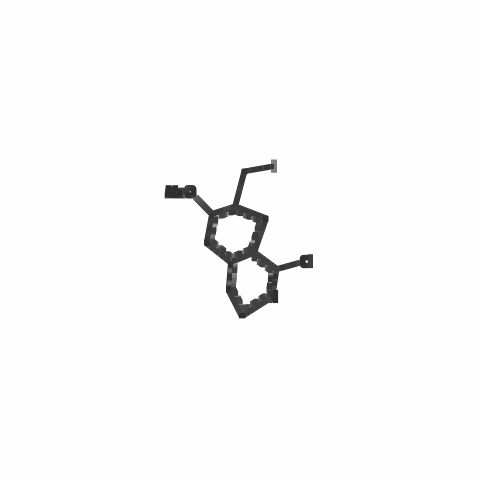 COc1cc2ccnc(Cl)c2cc1CI